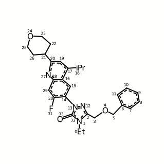 CCn1c(COCc2ccccc2)nn(-c2cc3c(C(C)C)cc(C4CCOCC4)nc3cc2F)c1=O